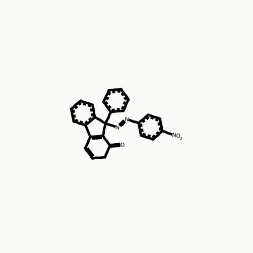 O=C1CC=CC2=C1C(N=Nc1ccc([N+](=O)[O-])cc1)(c1ccccc1)c1ccccc12